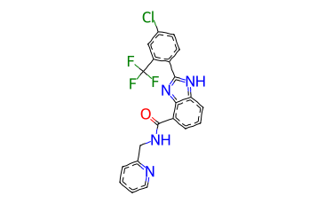 O=C(NCc1ccccn1)c1cccc2[nH]c(-c3ccc(Cl)cc3C(F)(F)F)nc12